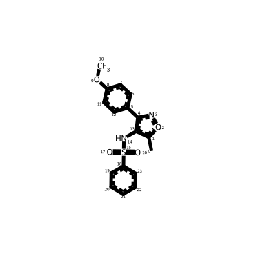 Cc1onc(-c2ccc(OC(F)(F)F)cc2)c1NS(=O)(=O)c1ccccc1